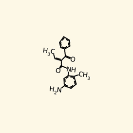 C/C=C(/C(=O)Nc1cc(N)ccc1C)C(=O)c1ccccc1